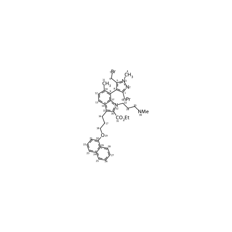 CCCc1nn(C)c(CBr)c1-c1c(C)ccc2c(CCCOc3cccc4ccccc34)c(C(=O)OCC)n(CCCNC)c12